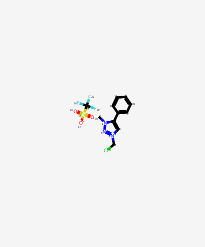 Cn1n[n+](CCl)cc1-c1ccccc1.O=S(=O)([O-])C(F)(F)F